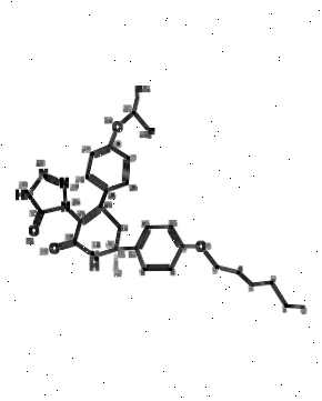 CCCCCCOc1ccc([C@]2(C)CC(c3ccc(OC(F)F)cc3)=C(n3nn[nH]c3=O)C(=O)N2)cc1